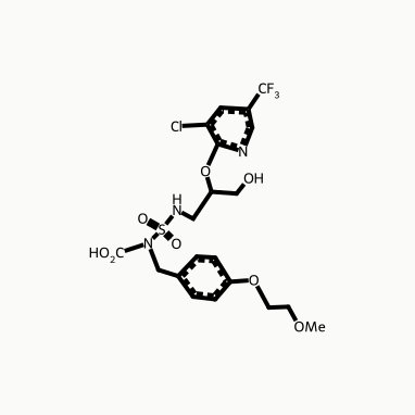 COCCOc1ccc(CN(C(=O)O)S(=O)(=O)NCC(CO)Oc2ncc(C(F)(F)F)cc2Cl)cc1